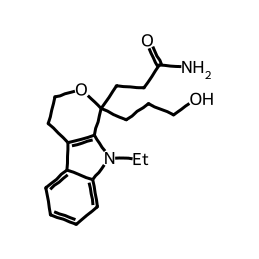 CCn1c2c(c3ccccc31)CCOC2(CCCO)CCC(N)=O